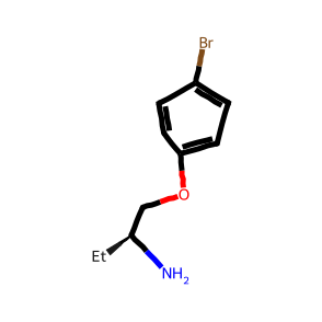 CC[C@H](N)COc1ccc(Br)cc1